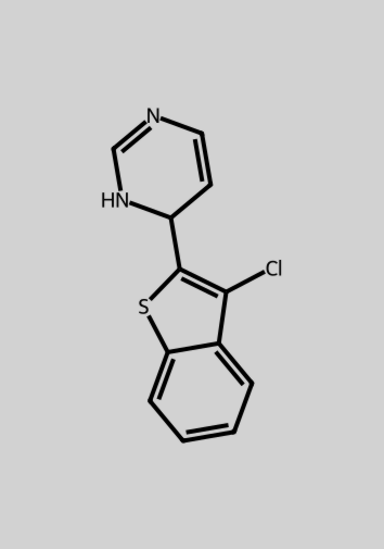 Clc1c(C2C=CN=CN2)sc2ccccc12